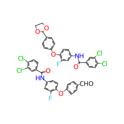 O=C(Nc1ccc(Oc2ccc(C3OCCO3)cc2)c(F)c1)c1ccc(Cl)c(Cl)c1.O=Cc1ccc(Oc2ccc(NC(=O)c3ccc(Cl)c(Cl)c3)cc2F)cc1